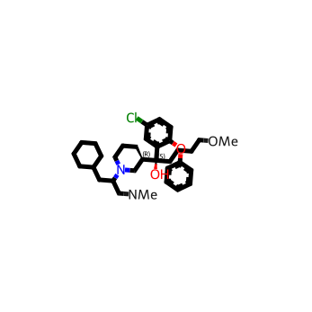 CNCC(CC1CCCCC1)N1CCC[C@@H]([C@@](O)(CCCCOC)c2cc(Cl)ccc2Oc2ccccc2)C1